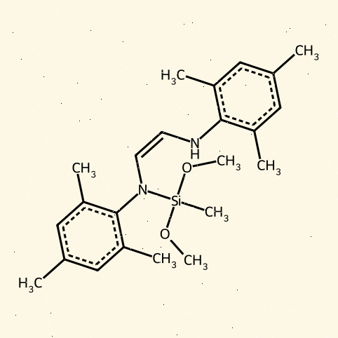 CO[Si](C)(OC)N(/C=C\Nc1c(C)cc(C)cc1C)c1c(C)cc(C)cc1C